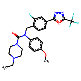 CCN1CCN(C(=O)N(Cc2ccc(-c3nnc(C(F)(F)F)o3)cc2F)c2ccc(OC)cc2)CC1